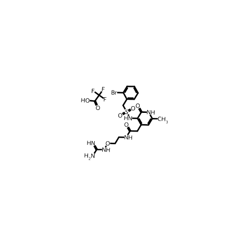 Cc1cc(CC(=O)NCCONC(=N)N)c(NS(=O)(=O)Cc2ccccc2Br)c(=O)[nH]1.O=C(O)C(F)(F)F